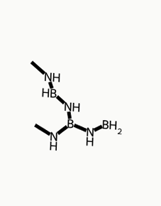 BNB(NC)NBNC